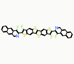 Fc1c(-c2sc3cc4c(cc3c2F)sc2c3cc5sc(-c6ncc7cc8ccccc8cc7c6F)c(F)c5cc3sc42)ncc2cc3ccccc3cc12